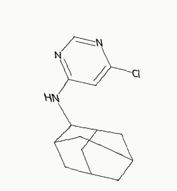 Clc1cc(NC2C3CC4CC(C3)CC2C4)ncn1